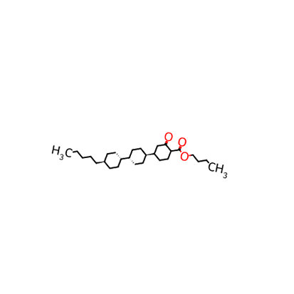 CCCCC[C@H]1CC[C@H]([C@H]2CC[C@H](C3CCC(C(=O)OCCCC)C(=O)C3)CC2)CC1